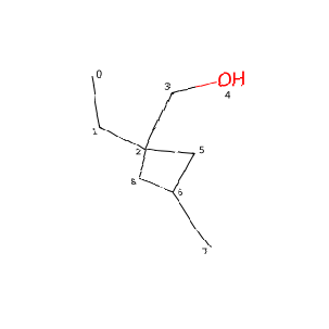 CCC1(CO)CC(C)C1